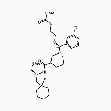 CNC[C@H](CC1(F)CCCCC1)NC(=O)N1CCC[C@@H]([C@@H](OCCNC(=O)OC)c2cccc(Cl)c2)C1